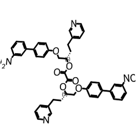 O=C(O[C@@H](CCc1cccnc1)COc1ccc(-c2cccc([N+](=O)[O-])c2)cc1)C(=O)O[C@@H](CCc1cccnc1)COc1ccc(-c2cccc([N+](=O)[O-])c2)cc1